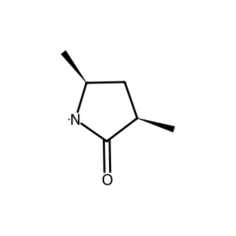 C[C@@H]1C[C@H](C)[N]C1=O